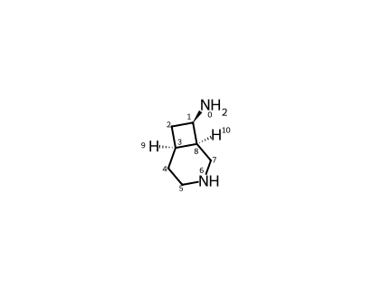 N[C@@H]1C[C@@H]2CCNC[C@@H]21